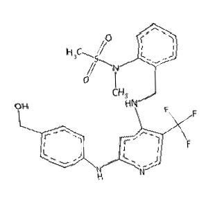 CN(c1ccccc1CNc1cc(Nc2ccc(CO)cc2)ncc1C(F)(F)F)S(C)(=O)=O